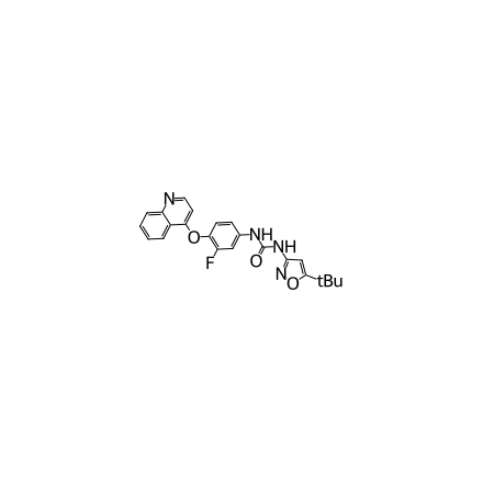 CC(C)(C)c1cc(NC(=O)Nc2ccc(Oc3ccnc4ccccc34)c(F)c2)no1